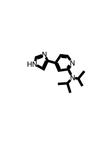 CC(C)N(c1cc(-c2c[nH]cn2)ccn1)C(C)C